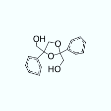 OCC1(c2ccccc2)COC(CO)(c2ccccc2)O1